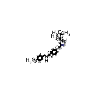 COc1ccc(CNc2nc3ccc(OC/C(=C/F)CNC(=O)OC(C)(C)C)cc3o2)cc1